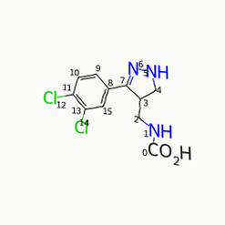 O=C(O)NCC1CNN=C1c1ccc(Cl)c(Cl)c1